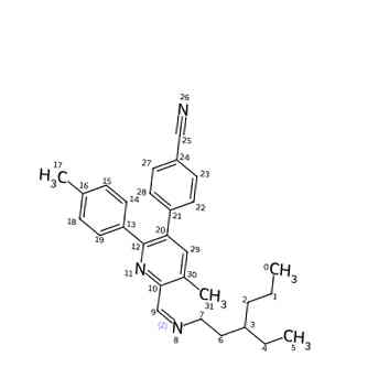 CCCC(CC)CC/N=C\c1nc(-c2ccc(C)cc2)c(-c2ccc(C#N)cc2)cc1C